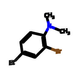 CCc1ccc(N(C)C)c(Br)c1